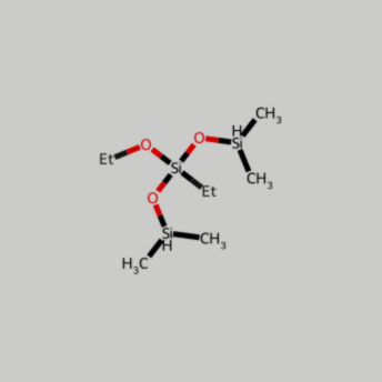 CCO[Si](CC)(O[SiH](C)C)O[SiH](C)C